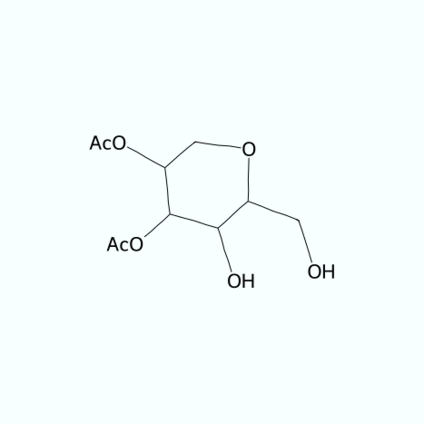 CC(=O)OC1COC(CO)C(O)C1OC(C)=O